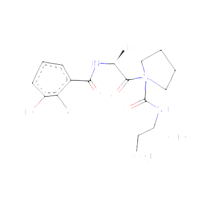 Cc1c(O)cccc1C(=O)N[C@H](C(=O)[N+]1(C(=O)N[C@H](C=O)CC(=O)O)CCCC1)C(C)C